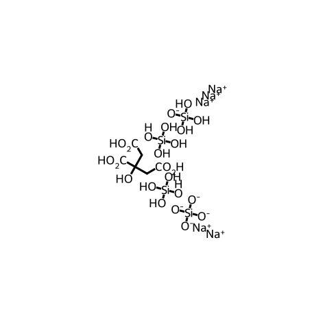 O=C(O)CC(O)(CC(=O)O)C(=O)O.O[Si](O)(O)O.O[Si](O)(O)O.[Na+].[Na+].[Na+].[Na+].[Na+].[O-][Si](O)(O)O.[O-][Si]([O-])([O-])[O-]